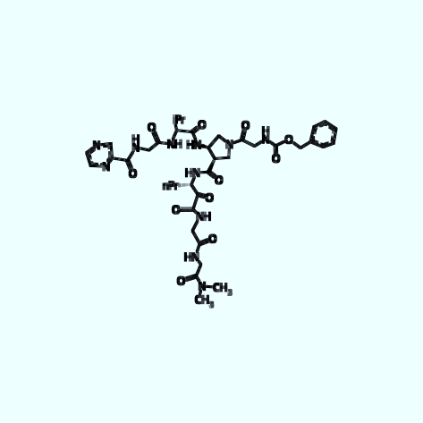 CCC[C@H](NC(=O)[C@@H]1CN(C(=O)CNC(=O)OCc2ccccc2)C[C@@H]1NC(=O)C(NC(=O)CNC(=O)c1cnccn1)C(C)C)C(=O)C(=O)NCC(=O)NCC(=O)N(C)C